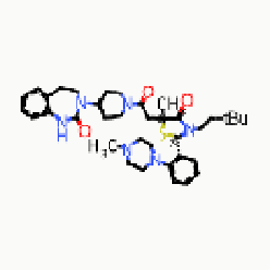 CN1CCN(c2ccccc2[C@@H]2S[C@](C)(CC(=O)N3CCC(N4CCc5ccccc5NC4=O)CC3)C(=O)N2CCC(C)(C)C)CC1